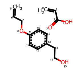 C=CC(=O)O.C=CCOc1ccc(CCO)cc1